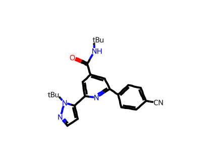 CC(C)(C)NC(=O)c1cc(-c2ccc(C#N)cc2)nc(-c2ccnn2C(C)(C)C)c1